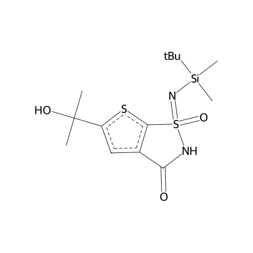 CC(C)(O)c1cc2c(s1)S(=O)(=N[Si](C)(C)C(C)(C)C)NC2=O